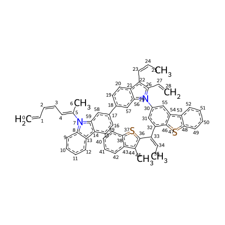 C=C/C=C\C=C(/C)n1c2ccccc2c2ccc(-c3ccc4c(/C=C\C)c(C=C)n(-c5cc(/C(=C/C)c6sc7ccccc7c6C)c6sc7ccccc7c6c5)c4c3)cc21